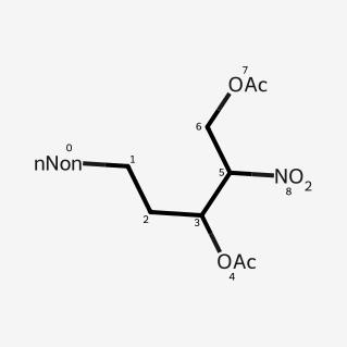 CCCCCCCCCCCC(OC(C)=O)C(COC(C)=O)[N+](=O)[O-]